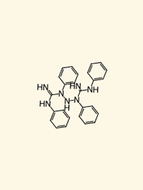 N=C(Nc1ccccc1)N(NN(C(=N)Nc1ccccc1)c1ccccc1)c1ccccc1